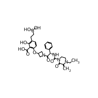 C=C1C(=O)N(C(=O)N[C@@H](C(=O)N2CC(Oc3ccc(CCB(O)O)c(O)c3C(=O)O)C2)c2ccccc2)CCN1CC